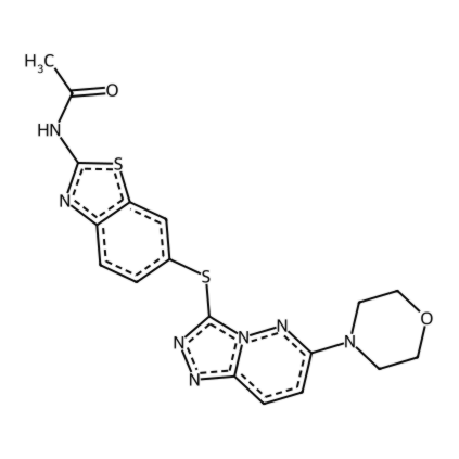 CC(=O)Nc1nc2ccc(Sc3nnc4ccc(N5CCOCC5)nn34)cc2s1